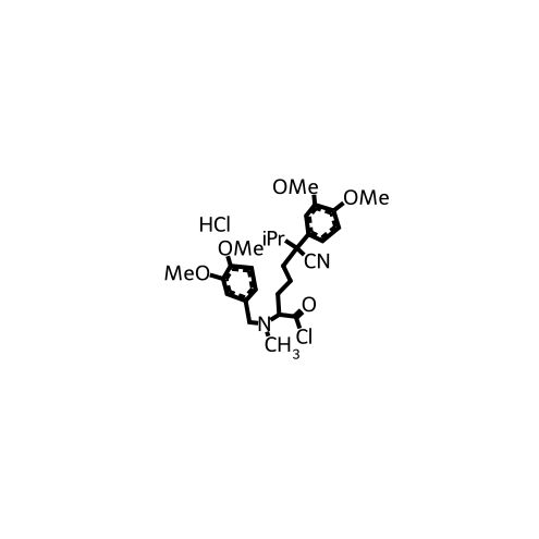 COc1ccc(CN(C)C(CCCC(C#N)(c2ccc(OC)c(OC)c2)C(C)C)C(=O)Cl)cc1OC.Cl